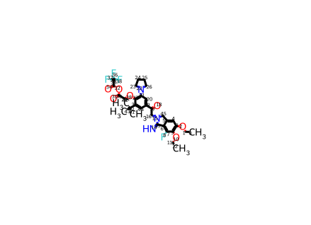 CCOc1cc2c(c(F)c1OCC)C(=N)N(CC(=O)c1cc(N3CCCC3)c(OCC(=O)OC(=O)C(F)(F)F)c(C(C)(C)C)c1)C2